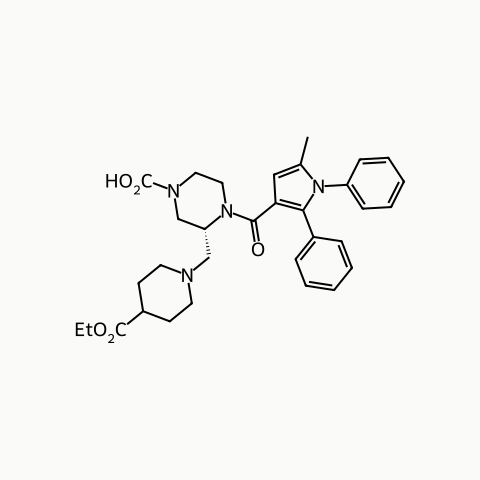 CCOC(=O)C1CCN(C[C@@H]2CN(C(=O)O)CCN2C(=O)c2cc(C)n(-c3ccccc3)c2-c2ccccc2)CC1